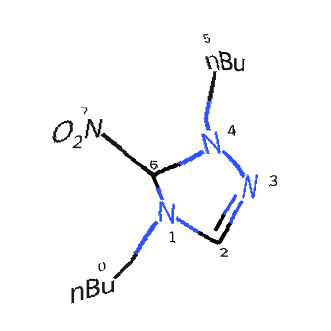 CCCCN1C=NN(CCCC)C1[N+](=O)[O-]